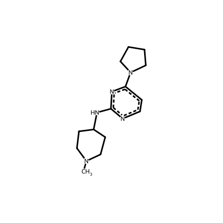 CN1CCC(Nc2nccc(N3CCCC3)n2)CC1